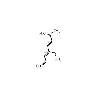 C=C/C=C(/C=C/N(C)C)SC